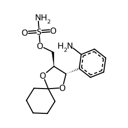 Nc1ccccc1[C@@H]1OC2(CCCCC2)O[C@H]1COS(N)(=O)=O